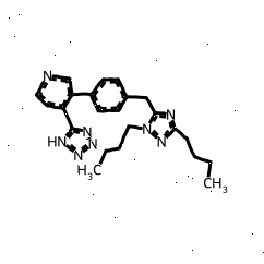 CCCCc1nc(Cc2ccc(-c3cnccc3-c3nnn[nH]3)cc2)n(CCCC)n1